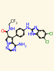 Nc1ncnn2cc(C(=O)NCC(F)(F)F)c(-c3ccc(Nc4nc5cc(Cl)c(Cl)cc5[nH]4)cc3)c12